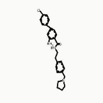 Nc1cc(-c2ccc(Cl)cc2)ccc1C(=O)NCCc1ccc(CN2CCCC2)cc1